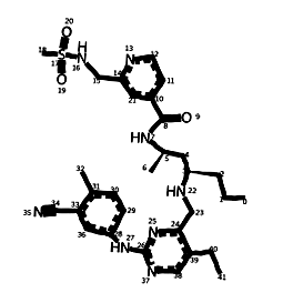 CCC[C@H](C[C@@H](C)NC(=O)c1ccnc(CNS(C)(=O)=O)c1)NCc1nc(Nc2ccc(C)c(C#N)c2)ncc1CC